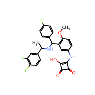 COc1ccc(Nc2c(O)c(=O)c2=O)cc1C(NC(C)c1ccc(F)c(F)c1)c1ccc(F)cc1